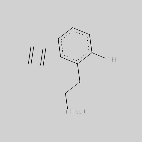 C=C.C=C.CCCCCCCCCc1ccccc1O